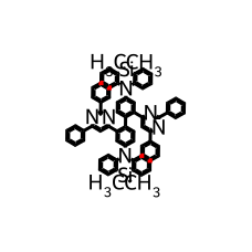 C[Si]1(C)c2ccccc2N(c2ccc(-c3ccc(N4c5ccccc5[Si](C)(C)c5ccccc54)cc3-c3cc(-c4ccccc4)nc(-c4ccccc4)n3)c(-c3cc(-c4ccccc4)nc(-c4ccccc4)n3)c2)c2ccccc21